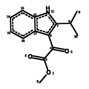 COC(=O)C(=O)c1c(C(C)C)[nH]c2ccccc12